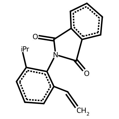 C=Cc1cccc(C(C)C)c1N1C(=O)c2ccccc2C1=O